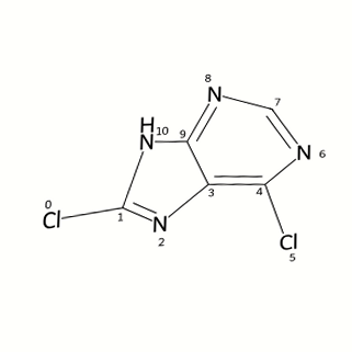 Clc1nc2c(Cl)ncnc2[nH]1